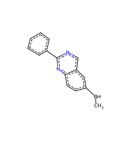 CBc1ccc2nc(-c3ccccc3)ncc2c1